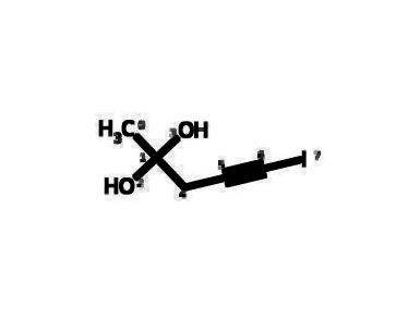 CC(O)(O)CC#CI